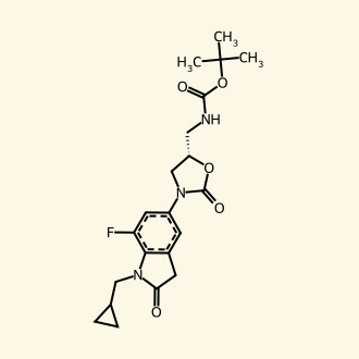 CC(C)(C)OC(=O)NC[C@H]1CN(c2cc(F)c3c(c2)CC(=O)N3CC2CC2)C(=O)O1